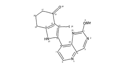 COc1ncc2nccc(-c3[nH]c4c(c3I)C(=O)CCC4)c2n1